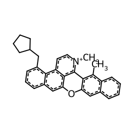 Cc1c2c(cc3ccccc13)Oc1cc3cccc(CC4CCCC4)c3c3cc[n+](C)c-2c13